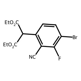 CCOC(=O)C(C(=O)OCC)c1ccc(Br)c(F)c1C#N